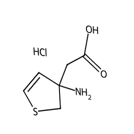 Cl.NC1(CC(=O)O)C=CSC1